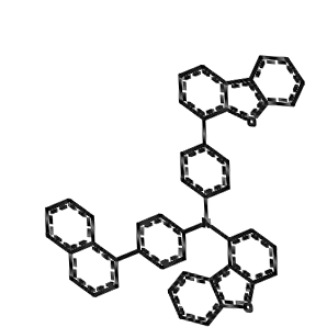 c1ccc2c(-c3ccc(N(c4ccc(-c5cccc6c5oc5ccccc56)cc4)c4cccc5oc6ccccc6c45)cc3)cccc2c1